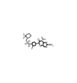 CC(C)n1c(=O)c(-c2ccc(NS(=O)(=O)CC3CCCCC3(F)F)c(F)c2)nc2cnc(N)nc21